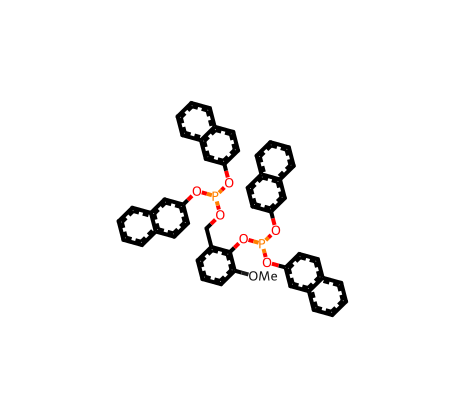 COc1cccc(COP(Oc2ccc3ccccc3c2)Oc2ccc3ccccc3c2)c1OP(Oc1ccc2ccccc2c1)Oc1ccc2ccccc2c1